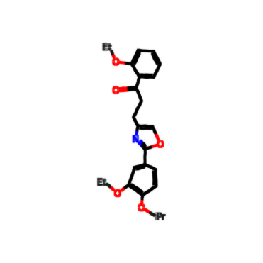 CCOc1cc(-c2nc(CCC(=O)c3ccccc3OCC)co2)ccc1OC(C)C